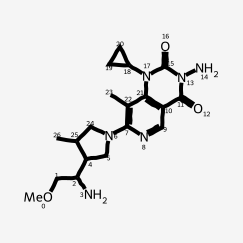 COCC(N)C1CN(c2ncc3c(=O)n(N)c(=O)n(C4CC4)c3c2C)CC1C